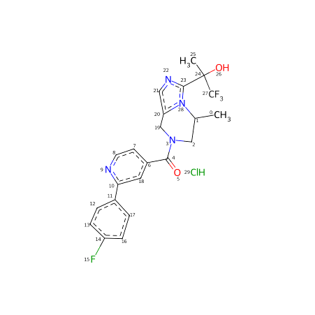 CC1CN(C(=O)c2ccnc(-c3ccc(F)cc3)c2)Cc2cnc(C(C)(O)C(F)(F)F)n21.Cl